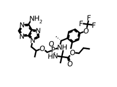 CCCOC(=O)C(C)(C)NP(=O)(COC(C)Cn1cnc2c(N)ncnc21)N[C@H](C)c1ccc(OC(F)(F)F)cc1C